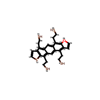 SCCc1c2cc3c(CCS)c4sccc4c(CCS)c3cc2c(CCS)c2occc12